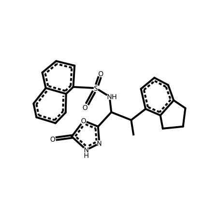 CC(c1cccc2c1CCC2)C(NS(=O)(=O)c1cccc2ccccc12)c1n[nH]c(=O)o1